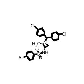 CC(=O)c1ccc(S(=O)(=O)N[C@H]2CN(C(c3ccc(Cl)cc3)c3ccc(Cl)cc3)[C@@H]2C)cc1